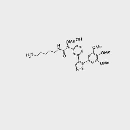 COc1cc(-c2sncc2-c2cccc(N(OC)C(=O)NCCCCCN)c2)cc(OC)c1OC.Cl